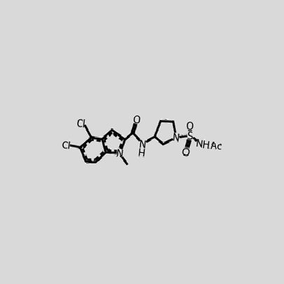 CC(=O)NS(=O)(=O)N1CCC(NC(=O)c2cc3c(Cl)c(Cl)ccc3n2C)C1